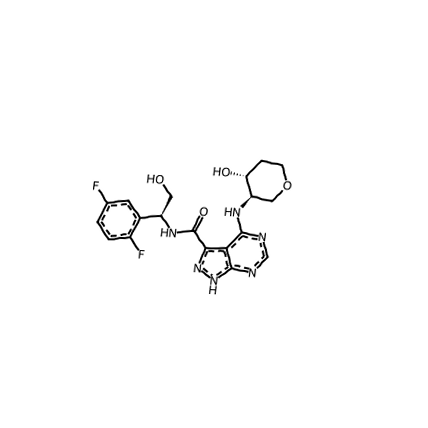 O=C(N[C@H](CO)c1cc(F)ccc1F)c1n[nH]c2ncnc(N[C@@H]3COCC[C@H]3O)c12